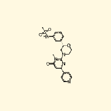 Cn1c(N2CCO[C@@H](c3cccc(NS(C)(=O)=O)c3)C2)nc(-c2ccncc2)cc1=O